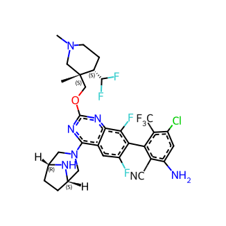 CN1CC[C@H](C(F)F)[C@](C)(COc2nc(N3C[C@H]4CC[C@@H](C3)N4)c3cc(F)c(-c4c(C#N)c(N)cc(Cl)c4C(F)(F)F)c(F)c3n2)C1